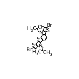 CC(C)Cn1c2cc(Br)sc2c2ccc3c(sc4c5sc(Br)cc5n(CC(C)C)c34)c21